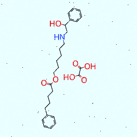 O=C(CCCCc1ccccc1)OCCCCCCNCC(O)c1ccccc1.O=C(O)C(=O)O